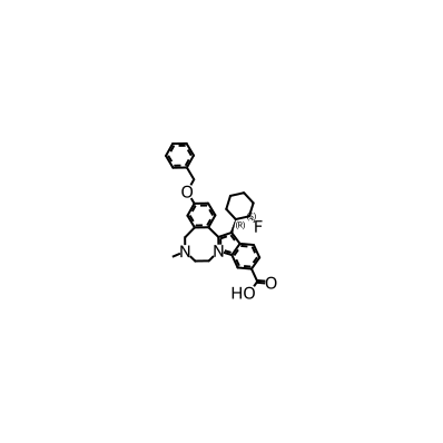 CN1CCn2c(c([C@H]3CCCC[C@@H]3F)c3ccc(C(=O)O)cc32)-c2ccc(OCc3ccccc3)cc2C1